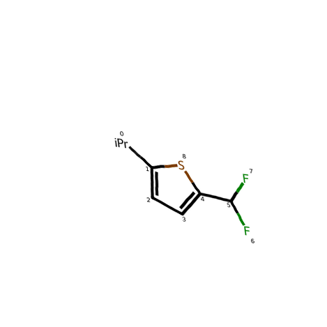 CC(C)c1ccc(C(F)F)s1